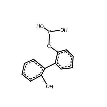 Oc1ccccc1-c1ccccc1OP(O)O